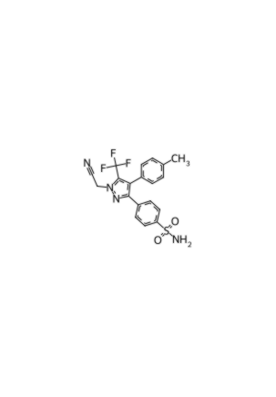 Cc1ccc(-c2c(-c3ccc(S(N)(=O)=O)cc3)nn(CC#N)c2C(F)(F)F)cc1